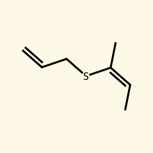 C=CCS/C(C)=C\C